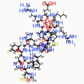 CCCC[C@H](NC(=O)[C@H](CCC(=O)O)NC(=O)[C@@H](CCCNC(=N)N)NC(=O)[C@@H]1CCCN1C(=O)[C@@H]1CCCN1C(=O)[C@H](CS)NC(=O)[C@H](Cc1c[nH]c2ccccc12)NC(=O)[C@H](Cc1c[nH]cn1)NC(=O)[C@@H](Cc1ccc(F)cc1)NC(=O)[C@H](Cc1c[nH]cn1)NC(=O)[C@@H]1CCCN1C(=O)[C@H](CS)NC(C)=O)C(=O)N[C@H](CCCNC(=N)N)C(=O)N[C@H](CCCNC(=N)N)C(N)=O